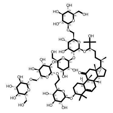 C[C@H](CC[C@@H](O[C@@H]1O[C@H](CO[C@@H]2O[C@H](CO)[C@@H](O)[C@H](O)[C@H]2O)[C@@H](O)[C@H](O)[C@H]1O[C@@H]1O[C@H](CO)C[C@H](O)[C@H]1O)C(C)(C)O)[C@H]1CC[C@@]2(C)[C@@H]3CC=C4[C@@H](CC[C@H](O[C@@H]5O[C@H](CCO[C@@H]6O[C@H](CO[C@@H]7O[C@H](CO)[C@@H](O)[C@H](O)[C@H]7O)[C@@H](O)[C@H](O)[C@H]6O)[C@@H](O)[C@H](O)[C@H]5O)C4(C)C)[C@]3(C)C(=O)C[C@]12C